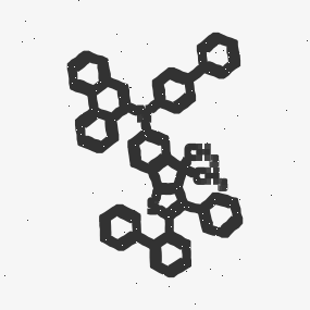 CC1(C)c2cc(N(c3ccc(-c4ccccc4)cc3)c3cc4ccccc4c4ccccc34)ccc2-c2sc(-c3ccccc3-c3ccccc3)c(-c3ccccc3)c21